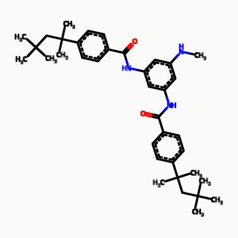 CNc1cc(NC(=O)c2ccc(C(C)(C)CC(C)(C)C)cc2)cc(NC(=O)c2ccc(C(C)(C)CC(C)(C)C)cc2)c1